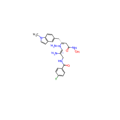 Cn1ccc2cc(C[C@H](CC(=O)NO)N(N)/C=C(\N)CNC(=O)c3ccc(F)cc3)ccc21